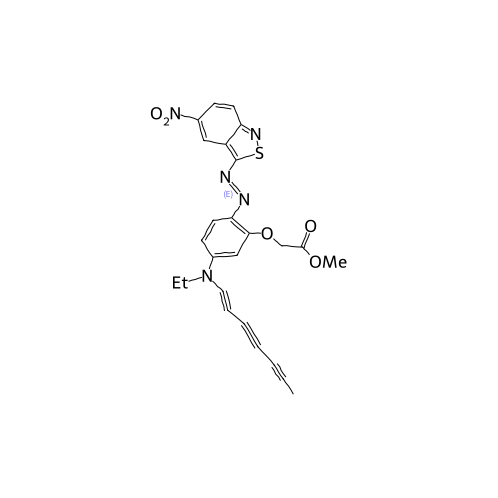 CC#CC#CC#CN(CC)c1ccc(/N=N/c2snc3ccc([N+](=O)[O-])cc23)c(OCC(=O)OC)c1